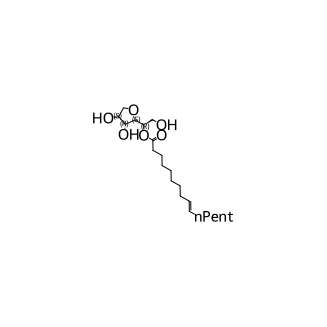 CCCCCC=CCCCCCCCC(=O)O[C@H](CO)[C@H]1OC[C@H](O)[C@H]1O